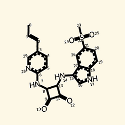 C/C=C/c1ccc(NC2C(=O)C(=O)C2Nc2c[nH]c3ccc(S(C)(=O)=O)cc23)nc1